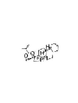 C#C[C@]1(OC(=O)C(=C)C)CC[C@H]2[C@@H]3CCC4CC=CC[C@@H]4[C@H]3CC[C@@]21C